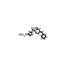 O=CN(c1ncc(C(=O)O)s1)N1CCC(=Cc2ccccn2)CC1